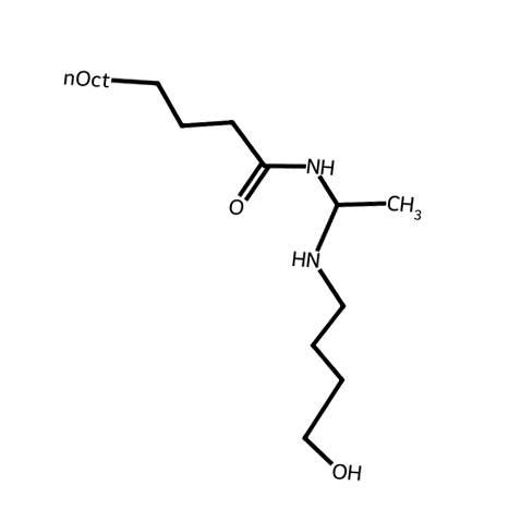 CCCCCCCCCCCC(=O)NC(C)NCCCCO